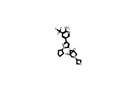 Nc1ncc(-c2cc([C@@H]3[C@@H]4CN(C5COC5)C[C@@H]43)n(C3CCCC3)n2)cc1C(F)(F)F